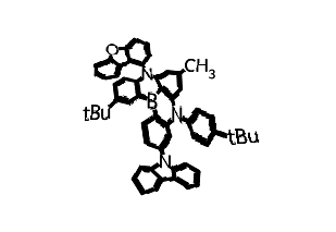 Cc1cc2c3c(c1)N(c1cccc4oc5ccccc5c14)c1ccc(C(C)(C)C)cc1B3c1ccc(-n3c4ccccc4c4ccccc43)cc1N2c1ccc(C(C)(C)C)cc1